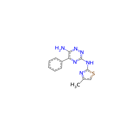 Cc1csc(Nc2nnc(N)c(-c3ccccc3)n2)n1